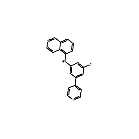 Clc1cc(-c2ccncc2)cc(Nc2cccc3cnccc23)n1